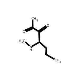 CCCC(NC)C(=O)C(C)=O